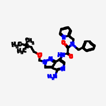 C[Si](C)(C)CCOCn1cc2c(N)ncc(NC(=O)C(=O)N(Cc3ccccc3)Cc3ccccn3)c2n1